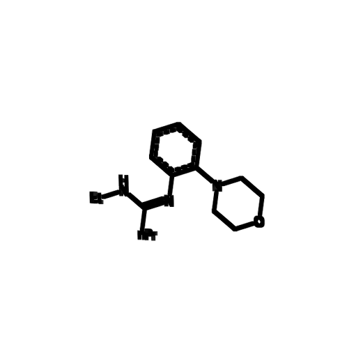 CCC/C(=N/c1ccccc1N1CCOCC1)NCC